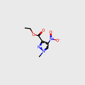 CCOC(=O)c1nn(C)cc1[N+](=O)[O-]